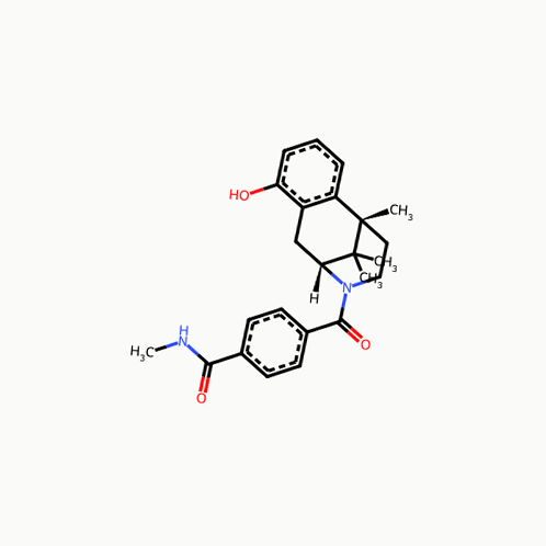 CNC(=O)c1ccc(C(=O)N2CC[C@@]3(C)c4cccc(O)c4C[C@@H]2C3(C)C)cc1